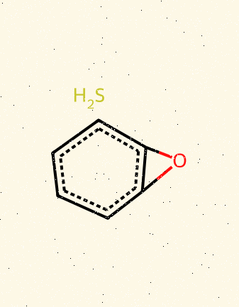 S.c1ccc2c(c1)O2